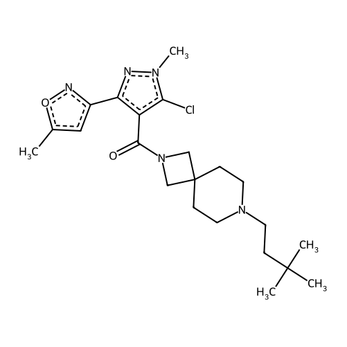 Cc1cc(-c2nn(C)c(Cl)c2C(=O)N2CC3(CCN(CCC(C)(C)C)CC3)C2)no1